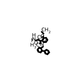 C=CCOc1cccc2c1c(C(=C)C(=O)NI)c(C)n2Cc1ccccc1-c1ccccc1